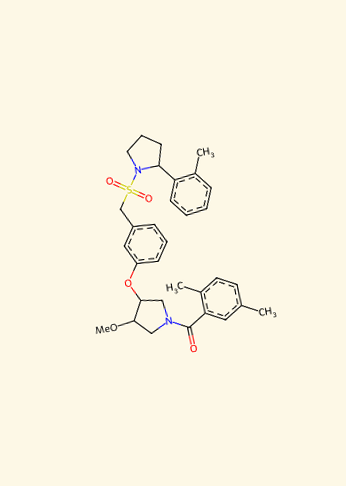 COC1CN(C(=O)c2cc(C)ccc2C)CC1Oc1cccc(CS(=O)(=O)N2CCCC2c2ccccc2C)c1